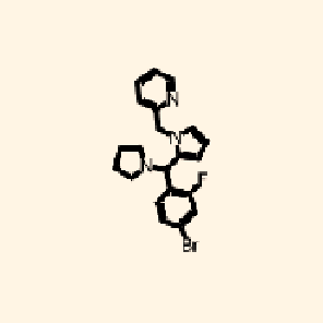 Fc1cc(Br)ccc1C(c1cccn1Cc1ccccn1)N1CCCC1